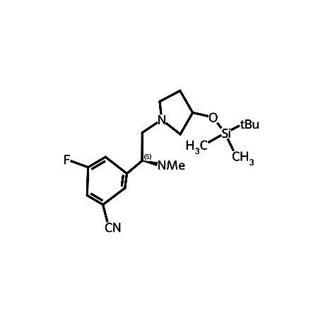 CN[C@H](CN1CCC(O[Si](C)(C)C(C)(C)C)C1)c1cc(F)cc(C#N)c1